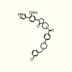 COc1cc(N2CCC3(CCN(C(=O)c4ccc(N5CCN(Cc6cccc(Cl)c6)CC5)cc4)CC3)C2=O)ccc1-c1cn[nH]c1